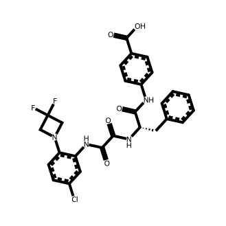 O=C(Nc1cc(Cl)ccc1N1CC(F)(F)C1)C(=O)N[C@@H](Cc1ccccc1)C(=O)Nc1ccc(C(=O)O)cc1